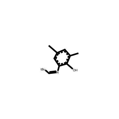 Cc1cc(C)c(O)c(/N=C\C(C)(C)C)c1